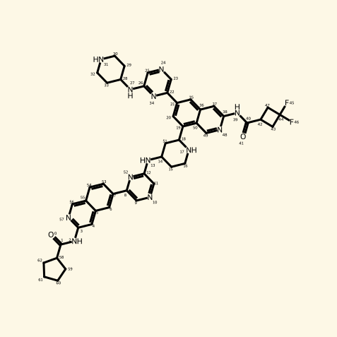 O=C(Nc1cc2cc(-c3cncc(NC4CCNC(c5cc(-c6cncc(NC7CCNCC7)n6)cc6cc(NC(=O)C7CC(F)(F)C7)ncc56)C4)n3)ccc2cn1)C1CCCC1